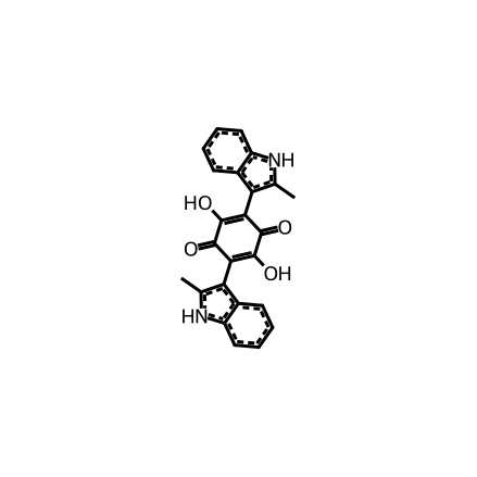 Cc1[nH]c2ccccc2c1C1=C(O)C(=O)C(c2c(C)[nH]c3ccccc23)=C(O)C1=O